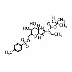 CCN(C(=O)OC(C)(C)C)C1=N[C@H]2[C@@H](O)[C@H](O)C(COS(=O)(=O)c3ccc(C)cc3)O[C@@H]2S1